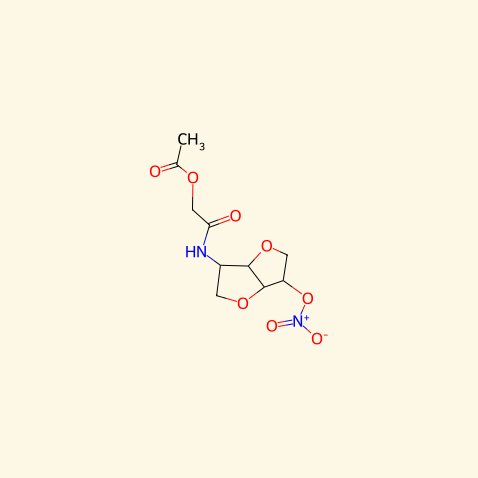 CC(=O)OCC(=O)NC1COC2C(O[N+](=O)[O-])COC12